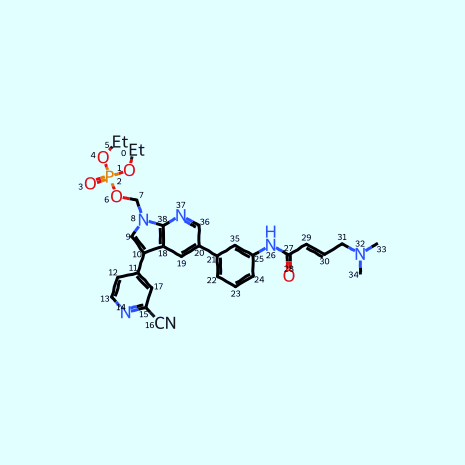 CCOP(=O)(OCC)OCn1cc(-c2ccnc(C#N)c2)c2cc(-c3cccc(NC(=O)/C=C/CN(C)C)c3)cnc21